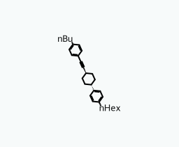 CCCCCCc1ccc([C@H]2CC[C@H](C#Cc3ccc(CCCC)cc3)CC2)cc1